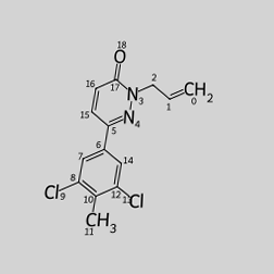 C=CCn1nc(-c2cc(Cl)c(C)c(Cl)c2)ccc1=O